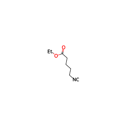 [C-]#[N+]CCCCC(=O)OCC